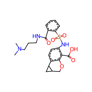 CN(C)CCCNC(=O)c1ccccc1S(=O)(=O)Nc1ccc2c(c1C(=O)O)OCC1CC21